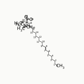 CCCCCCCC=CCCCCCCCCCCC(CC)(P(=O)=O)[N+](C)(C)C